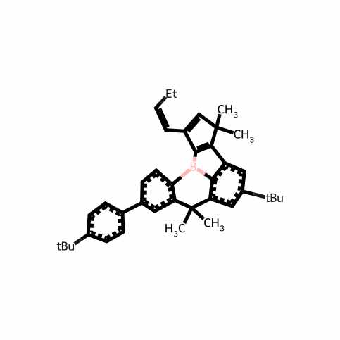 CC/C=C\C1=CC(C)(C)C2=C1B1c3ccc(-c4ccc(C(C)(C)C)cc4)cc3C(C)(C)c3cc(C(C)(C)C)cc2c31